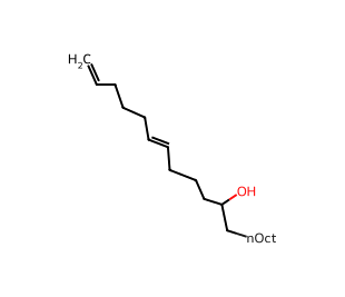 C=CCCCC=CCCCC(O)CCCCCCCCC